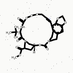 COC(=O)C1C[C@@H]2CN1C(=O)[C@H](C(C)(C)C)NC(=O)OCCC/C=C\c1c3c(cc4c1OCO4)CN(C3)C(=O)O2